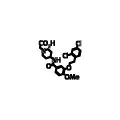 COc1ccc(C(=O)NC2CCN(CC(=O)O)CC2)cc1OCCc1ccc(Cl)cc1Cl